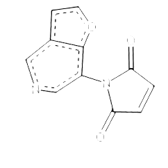 O=C1C=CC(=O)N1c1cncc2ccoc12